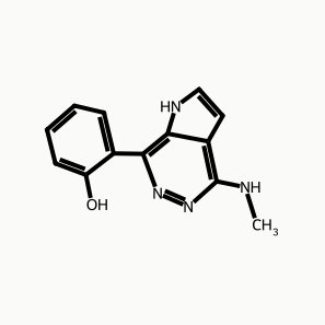 CNc1nnc(-c2ccccc2O)c2[nH]ccc12